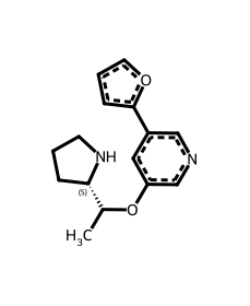 CC(Oc1cncc(-c2ccco2)c1)[C@@H]1CCCN1